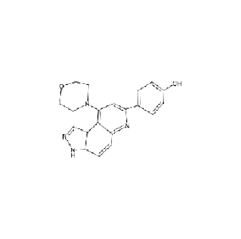 Oc1ccc(-c2cc(N3CCOCC3)c3c(n2)C=CC2NN=CC32)cc1